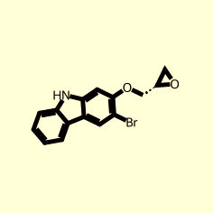 Brc1cc2c(cc1OC[C@@H]1CO1)[nH]c1ccccc12